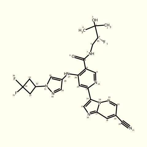 CC(C)(O)[C@H](F)CNC(=O)c1cnc(-c2cnc3cc(C#N)cnn23)cc1Nc1cnn(C2CC(F)(F)C2)c1